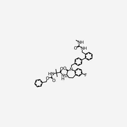 CNC(=O)NCc1ccccc1-c1ccc(CN2C(=O)[C@H](NC(=O)C(C)(C)NC(=O)OCc3ccccc3)CCc3cc(F)ccc32)cc1